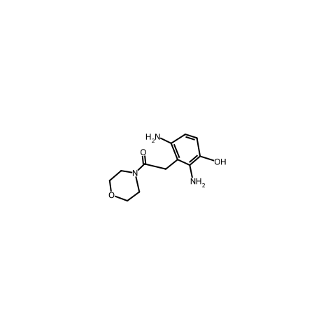 Nc1ccc(O)c(N)c1CC(=O)N1CCOCC1